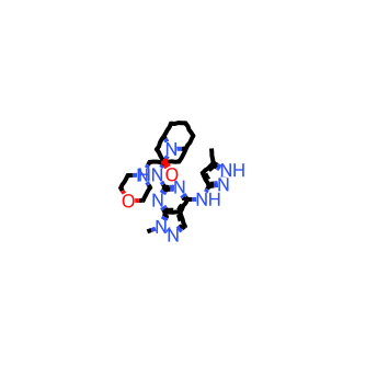 Cc1cc(Nc2nc(NC3CC4CCCC(C3)N4C(=O)CN3CCOCC3)nc3c2cnn3C)n[nH]1